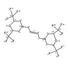 FC(F)(F)C1CN(C/C=C/CN2CC(C(F)(F)F)OC(C(F)(F)F)C2)CC(C(F)(F)F)O1